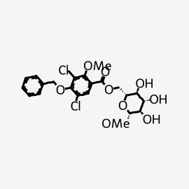 COc1c(C(=O)OC[C@H]2O[C@@H](OC)[C@H](O)[C@@H](O)[C@@H]2O)cc(Cl)c(OCc2ccccc2)c1Cl